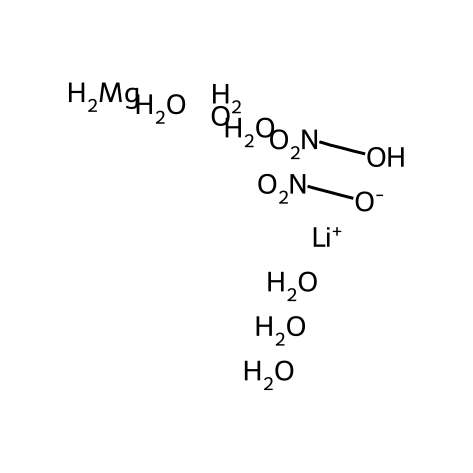 O.O.O.O.O.O.O=[N+]([O-])O.O=[N+]([O-])[O-].[Li+].[MgH2]